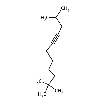 [CH2]C(C)CC#CCCCCC(C)(C)C